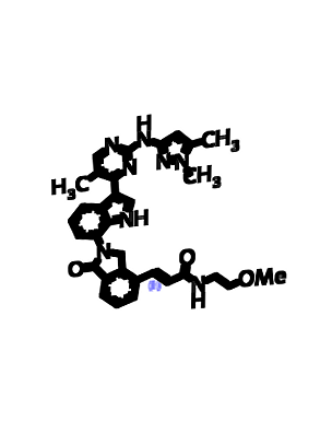 COCCNC(=O)/C=C/c1cccc2c1CN(c1cccc3c(-c4nc(Nc5cc(C)n(C)n5)ncc4C)c[nH]c13)C2=O